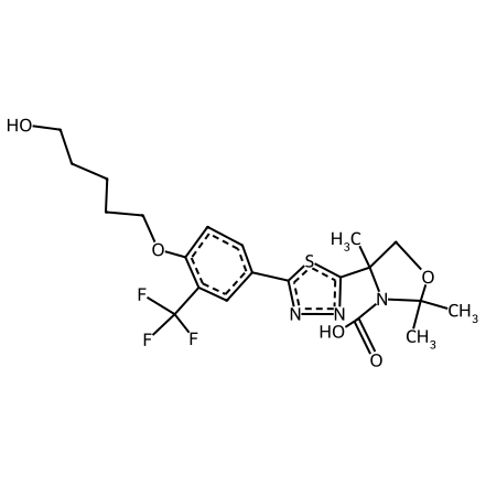 CC1(C)OCC(C)(c2nnc(-c3ccc(OCCCCCO)c(C(F)(F)F)c3)s2)N1C(=O)O